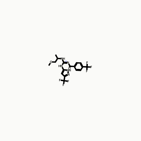 COCC(C)N/C(=N/C(=O)c1ccc(C(F)(F)F)cc1)Nc1cc(C(F)(F)F)n[nH]1